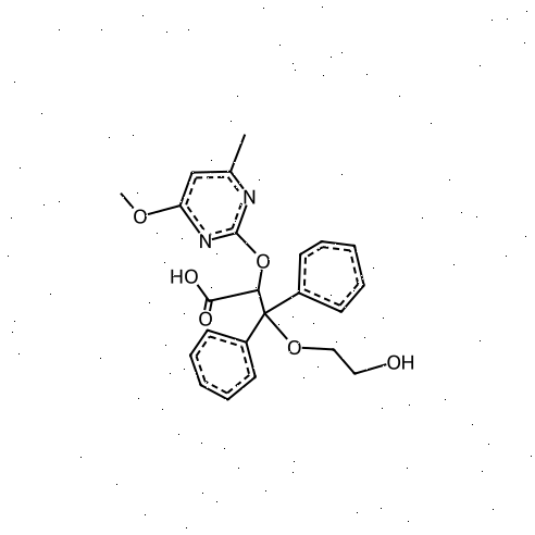 COc1cc(C)nc(OC(C(=O)O)C(OCCO)(c2ccccc2)c2ccccc2)n1